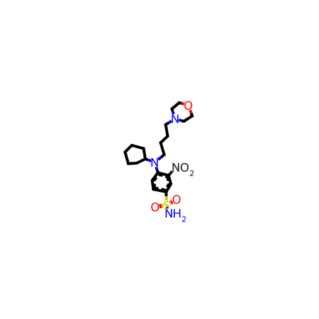 NS(=O)(=O)c1ccc(N(CCCCN2CCOCC2)C2CCCCC2)c([N+](=O)[O-])c1